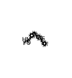 O=C(CF)NCc1ccc2ccn(C3CCN(C(F)Cc4ccccc4)CC3)c2c1